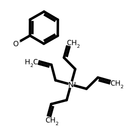 C=CC[N+](CC=C)(CC=C)CC=C.[O-]c1ccccc1